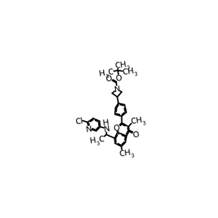 Cc1cc(C(C)Nc2ccc(Cl)nc2)c2oc(-c3ccc(C4CN(C(=O)OC(C)(C)C)C4)cc3)c(C)c(=O)c2c1